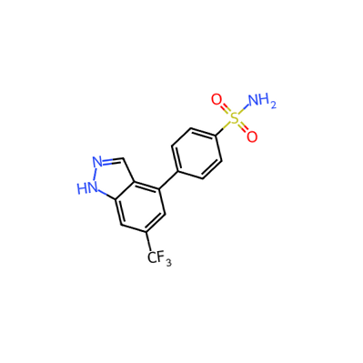 NS(=O)(=O)c1ccc(-c2cc(C(F)(F)F)cc3[nH]ncc23)cc1